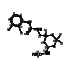 Cc1cccc(OC(=O)NCC2(C)CC(NC(=O)O)CC(C)(C)C2)c1C